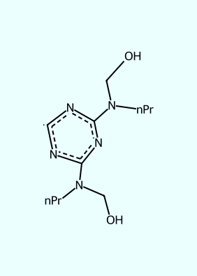 CCCN(CO)c1n[c]nc(N(CO)CCC)n1